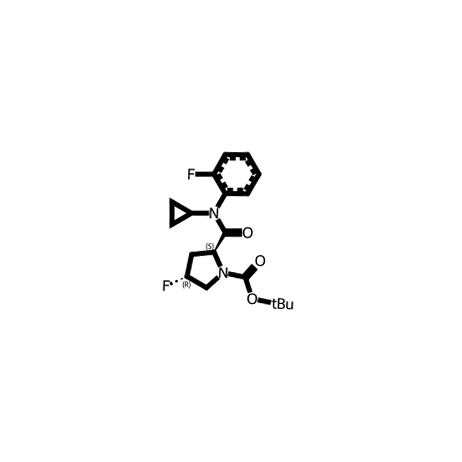 CC(C)(C)OC(=O)N1C[C@H](F)C[C@H]1C(=O)N(c1ccccc1F)C1CC1